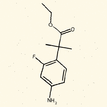 CCOC(=O)C(C)(C)c1ccc(N)cc1F